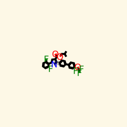 CC(C)COC(=O)C1CC(c2c(F)cccc2F)=N[C@H]1c1ccc(-c2ccc(OC(F)(F)F)cc2)cc1